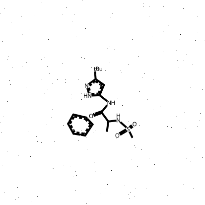 CC(NS(C)(=O)=O)C(=O)Nc1cc(C(C)(C)C)n[nH]1.c1ccccc1